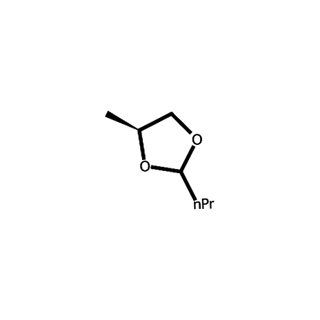 CCCC1OC[C@H](C)O1